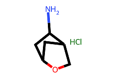 Cl.NC1CC2CC1CO2